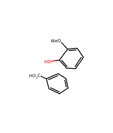 COc1ccccc1O.O=C(O)c1ccccc1